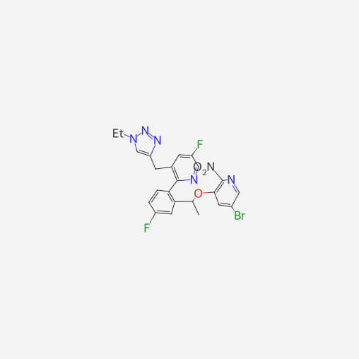 CCn1cc(Cc2cc(F)cnc2-c2ccc(F)cc2C(C)Oc2cc(Br)cnc2[N+](=O)[O-])nn1